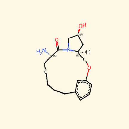 N[C@H]1CCCCCc2cccc(c2)OC[C@@H]2C[C@H](O)CN2C1=O